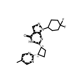 Cc1cnc([C@H]2CC[C@H]2c2nc3c(cnn3C3CCC(F)(F)CC3)c(=O)[nH]2)nc1